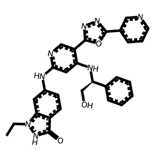 CCn1[nH]c(=O)c2ccc(Nc3cc(N[C@H](CO)c4ccccc4)c(-c4nnc(-c5cccnc5)o4)cn3)cc21